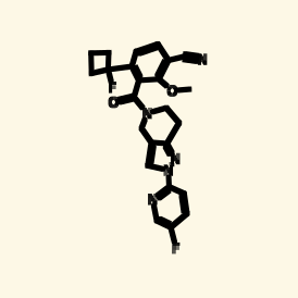 COc1c(C#N)ccc(C2(F)CCC2)c1C(=O)N1CCc2nn(-c3ccc(F)cn3)cc2C1